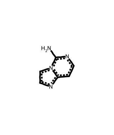 Nc1nccc2nccn12